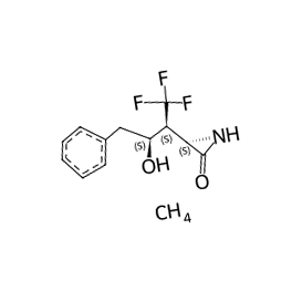 C.O=C1N[C@H]1[C@@H]([C@@H](O)Cc1ccccc1)C(F)(F)F